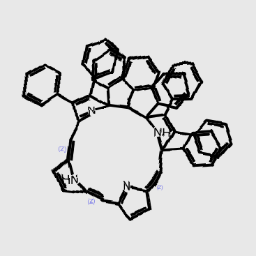 C1=C/C2=C/C3(c4ccccc4)NC(c4ccccc4)(C(c4ccccc4)=C3c3ccccc3)C(c3ccccc3)C3(c4ccccc4)N=C(/C=c4/cc/c([nH]4)=C/C1=N2)C(c1ccccc1)=C3c1ccccc1